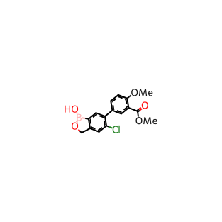 COC(=O)c1cc(-c2cc3c(cc2Cl)COB3O)ccc1OC